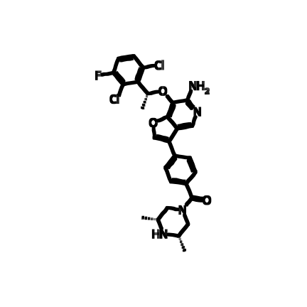 C[C@@H]1CN(C(=O)c2ccc(-c3coc4c(O[C@H](C)c5c(Cl)ccc(F)c5Cl)c(N)ncc34)cc2)C[C@H](C)N1